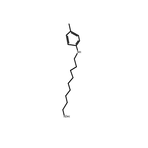 [CH2]CCCCCCCCCCCCCCCCCCNc1ccc(C)cc1